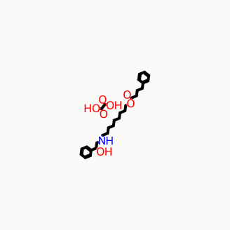 O=C(CCCc1ccccc1)OCCCCCCCCCNCC(O)c1ccccc1.O=C(O)C(=O)O